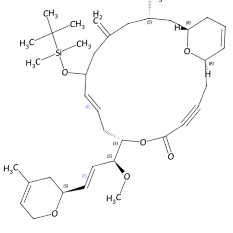 C=C1CC(O[Si](C)(C)C(C)(C)C)/C=C/C[C@@H]([C@H](/C=C/[C@@H]2CC(C)=CCO2)OC)OC(=O)C#CC[C@@H]2C=CC[C@@H](C[C@@H](C)C1)O2